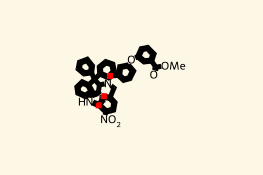 COC(=O)c1cccc(Oc2cccc(CN(Cc3ccc([N+](=O)[O-])cc3)C(c3c[nH]cn3)C(c3ccccc3)(c3ccccc3)c3ccccc3)c2)c1